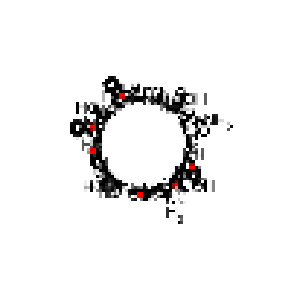 CCCC[C@H]1C(=O)N[C@@H](CC(N)=O)C(=O)N2CCC[C@H]2C(=O)N[C@@H](CO)C(=O)N[C@@H](CCO)C(=O)N2CCC[C@H]2C(=O)N[C@@H](Cc2c[nH]c3ccccc23)C(=O)N[C@@H](CCO)C(=O)N[C@@H](Cc2c[nH]c3ccccc23)C(=O)N(C)[C@@H](C)C(=O)N(C)[C@@H](C)C(=O)N[C@@H](CCC(=O)O)C(=O)NC(C(=O)NCC(N)=O)CSCC(=O)N[C@@H](Cc2ccc(O)cc2)C(=O)N1C